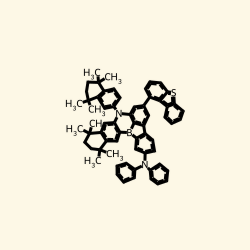 CC1(C)CCC(C)(C)c2cc(N3c4cc5c(cc4B4c6cc(N(c7ccccc7)c7ccccc7)ccc6-c6cc(-c7cccc8sc9ccccc9c78)cc3c64)C(C)(C)CCC5(C)C)ccc21